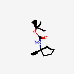 C#CC1(NC(=O)OC(C)(C)C)CCCC1